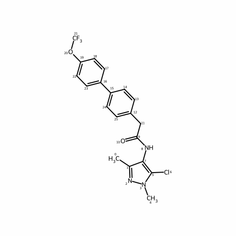 Cc1nn(C)c(Cl)c1NC(=O)Cc1ccc(-c2ccc(OC(F)(F)F)cc2)cc1